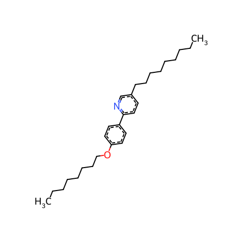 CCCCCCCCCc1ccc(-c2ccc(OCCCCCCCC)cc2)nc1